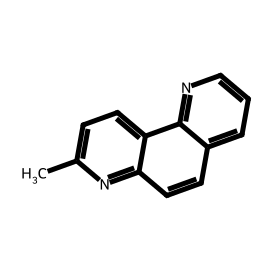 Cc1ccc2c(ccc3cccnc32)n1